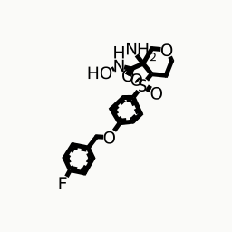 NC1(C(=O)NO)COCCC1S(=O)(=O)c1ccc(OCc2ccc(F)cc2)cc1